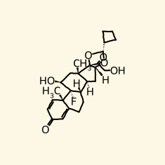 C[C@]12C=CC(=O)C=C1CC[C@H]1[C@@H]3C[C@H]4O[C@@H](C5CCC5)O[C@@]4(C(=O)CO)[C@@]3(C)C[C@H](O)[C@@]12F